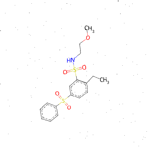 CCc1ccc(S(=O)(=O)c2ccccc2)cc1S(=O)(=O)NCCOC